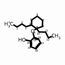 CCCCC1CCCCC1(CCCC)Oc1ccccc1O